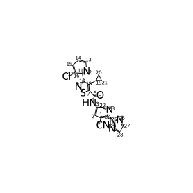 N#Cc1cc(NC(=O)c2snc(-c3ncccc3Cl)c2C2CC2)cnc1-n1nccn1